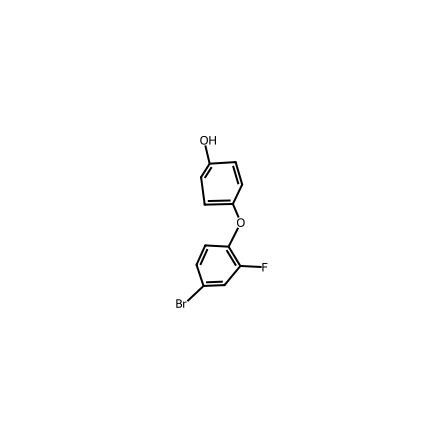 Oc1ccc(Oc2ccc(Br)cc2F)cc1